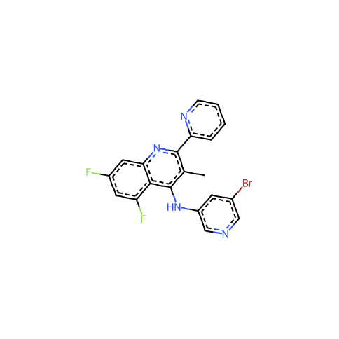 Cc1c(-c2ccccn2)nc2cc(F)cc(F)c2c1Nc1cncc(Br)c1